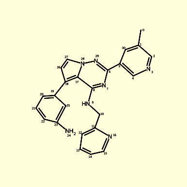 Cc1cncc(-c2nc(NCc3ccccn3)c3c(-c4cccc(N)c4)ccn3n2)c1